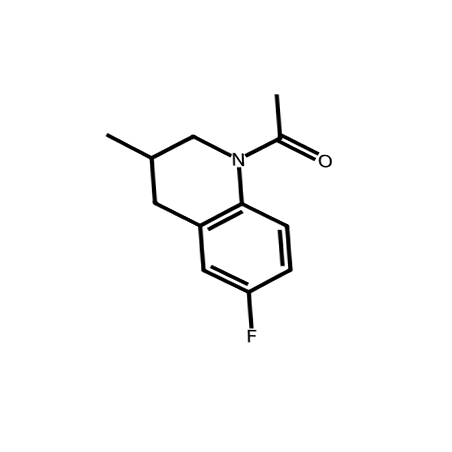 CC(=O)N1CC(C)Cc2cc(F)ccc21